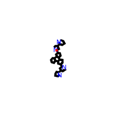 c1ccc(-c2ccnc(-c3ccc4c5ccc(-c6cc(-c7ccccn7)ccn6)cc5c5ccccc5c4c3)c2)nc1